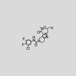 CN1OC(CF)Cn2nc3c(c2C1=O)CN(C(=O)Nc1cc(F)c(F)c(Cl)c1)CC3